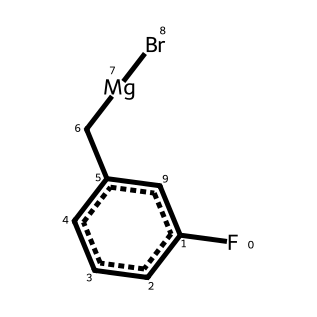 Fc1cccc([CH2][Mg][Br])c1